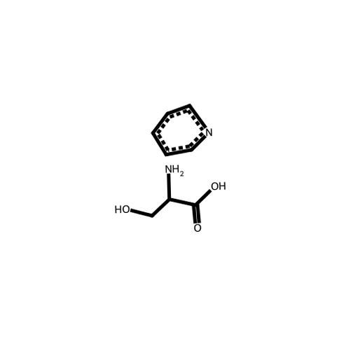 NC(CO)C(=O)O.c1ccncc1